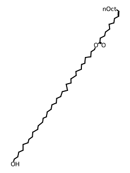 CCCCCCCC/C=C\CCCCCCCC(=O)OCCCCCCCCCCCCCCCCCCCCCCCCCCCCCCCCCCO